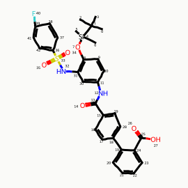 CC(C)(C)[Si](C)(C)Oc1ccc(NC(=O)c2ccc(-c3ccccc3C(=O)O)cc2)cc1NS(=O)(=O)c1ccc(F)cc1